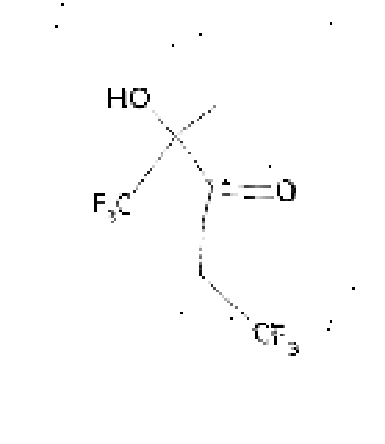 CC(O)(C(=O)CC(F)(F)F)C(F)(F)F